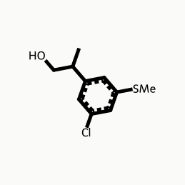 CSc1cc(Cl)cc([C](C)CO)c1